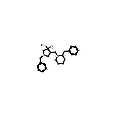 CC1(O)CN(Cc2ccccc2)CC1CN1CC[CH]CC1Cc1ccccc1